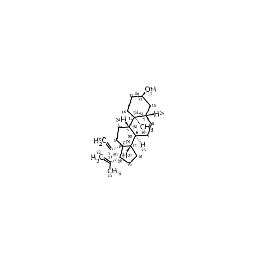 C=C[C@]12CC[C@H]3[C@@H](CC[C@H]4C[C@H](O)CC[C@@]43C)[C@@H]1CC[C@@H]2C(=C)C